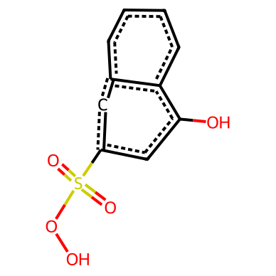 O=S(=O)(OO)c1cc(O)c2ccccc2c1